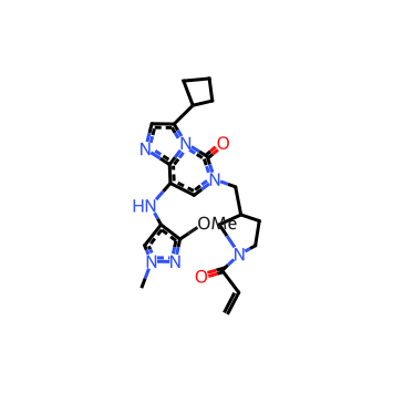 C=CC(=O)N1CCC(Cn2cc(Nc3cn(C)nc3OC)c3ncc(C4CCC4)n3c2=O)C1